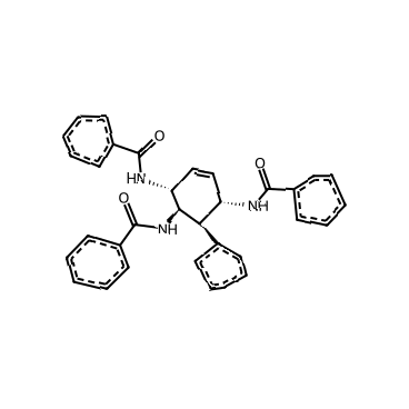 O=C(N[C@@H]1[C@H](c2ccccc2)[C@@H](NC(=O)c2ccccc2)C=C[C@H]1NC(=O)c1ccccc1)c1ccccc1